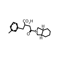 Cc1cccc(CC(CC(=O)N2C[C@H]3CCCC[C@H]3C2)C(=O)O)c1